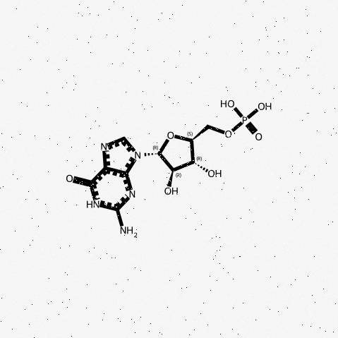 Nc1nc2c(ncn2[C@@H]2O[C@@H](COP(=O)(O)O)[C@H](O)[C@H]2O)c(=O)[nH]1